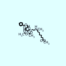 COC(=O)CCCCCCC(C)NCCO[C@@H]1O[C@@H]2COC(c3ccccc3)O[C@@H]2[C@H](OC(C)=O)[C@H]1OC(C)=O